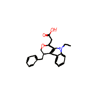 CCn1c2c(c3ccccc31)C(Cc1ccccc1)COC2CC(=O)O